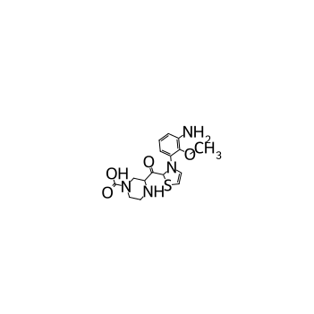 COc1c(N)cccc1N1C=CSC1C(=O)C1CN(C(=O)O)CCN1